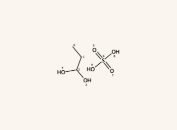 CCC(O)O.O=S(=O)(O)O